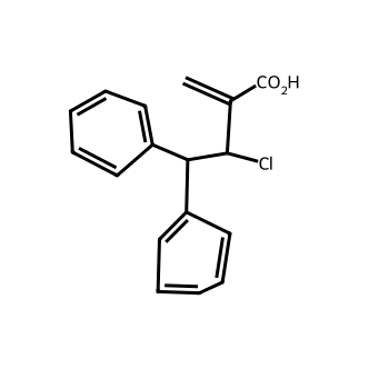 C=C(C(=O)O)C(Cl)C(c1ccccc1)c1ccccc1